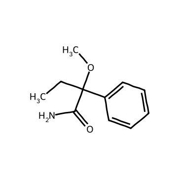 CCC(OC)(C(N)=O)c1ccccc1